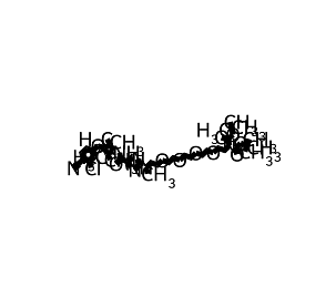 CN(CCOCCOCCOCCOCCN(C(=O)OC(C)(C)C)C(=O)OC(C)(C)C)c1ncc(C(=O)NC2C(C)(C)C(Oc3ccc(C#N)c(Cl)c3)C2(C)C)cn1